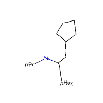 CCCCCCC(CC1CCCC1)[N]CCC